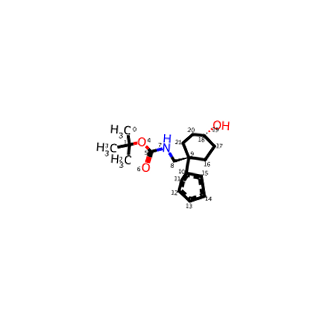 CC(C)(C)OC(=O)NC[C@]1(c2ccccc2)CC[C@@H](O)CC1